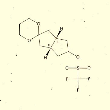 O=S(=O)(OC1C[C@@H]2CC3(C[C@@H]2C1)OCCCO3)C(F)(F)F